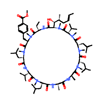 C/C=C/C[C@@H](C)[C@@H](O)[C@H]1C(=O)N[C@@H](CC)C(=O)N(C)[C@H](Cc2ccc(C(=O)OC)cc2)C(=O)N(C)[C@@H](CC(C)C)C(=O)N[C@@H](C(C)C)C(=O)N(C)[C@@H](CC(C)C)C(=O)N[C@@H](C)C(=O)N[C@H](C)C(=O)N(C)[C@@H](CC(C)C)C(=O)N(C)[C@@H](CC(C)C)C(=O)N(C)[C@@H](C(C)C)C(=O)N1C